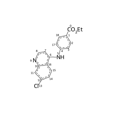 CCOC(=O)c1ccc(Nc2ccnc3cc(Cl)ccc23)cc1